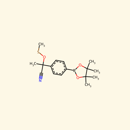 CSOC(C)(C#N)c1ccc(B2OC(C)(C)C(C)(C)O2)cc1